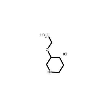 Cl.O=C(O)COC1CCCNC1